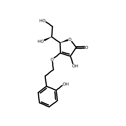 O=C1O[C@H]([C@@H](O)CO)C(OCCc2ccccc2O)=C1O